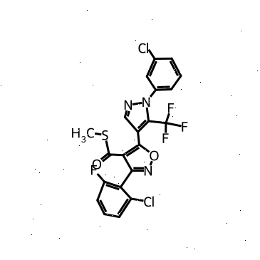 CSC(=O)c1c(-c2c(F)cccc2Cl)noc1-c1cnn(-c2cccc(Cl)c2)c1C(F)(F)F